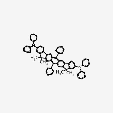 CC1(C)c2cc(N(c3ccccc3)c3ccccc3)ccc2-c2cc3c(-c4ccccc4)c4cc5c(cc4c(-c4ccccc4)c3cc21)C(C)(C)c1cc(N(c2ccccc2)c2ccccc2)ccc1-5